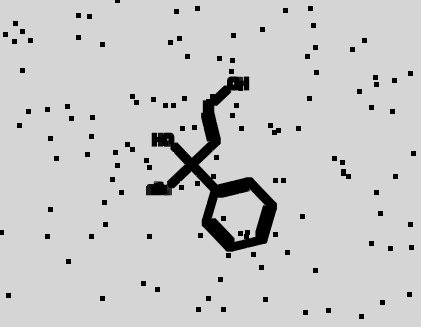 CCCCC(O)(C=NO)c1ccccc1